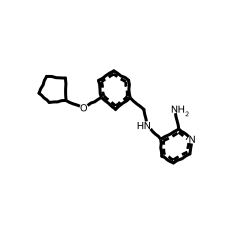 Nc1ncccc1NCc1cccc(OC2CCCC2)c1